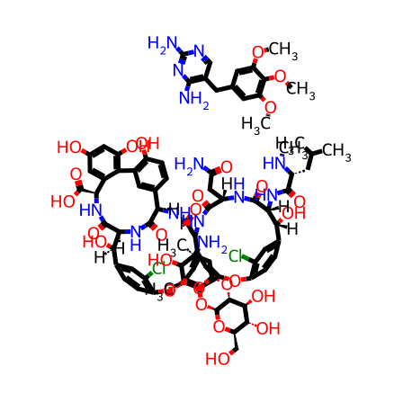 CN[C@H](CC(C)C)C(=O)N[C@H]1C(=O)N[C@@H](CC(N)=O)C(=O)N[C@H]2C(=O)N[C@H]3C(=O)N[C@H](C(=O)N[C@@H](C(=O)O)c4cc(O)cc(O)c4-c4cc3ccc4O)[C@H](O)c3ccc(c(Cl)c3)Oc3cc2cc(c3O[C@@H]2O[C@H](CO)[C@@H](O)[C@H](O)[C@H]2O[C@H]2C[C@](C)(N)C(O)[C@H](C)O2)Oc2ccc(cc2Cl)[C@H]1O.COc1cc(Cc2cnc(N)nc2N)cc(OC)c1OC